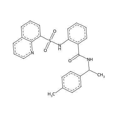 Cc1ccc(C(C)NC(=O)c2ccccc2NS(=O)(=O)c2cccc3cccnc23)cc1